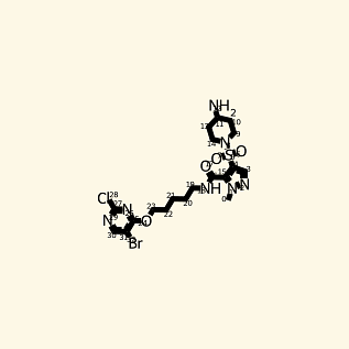 Cn1ncc(S(=O)(=O)N2CCC(N)CC2)c1C(=O)NCCCCCOc1nc(Cl)ncc1Br